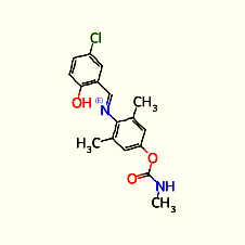 CNC(=O)Oc1cc(C)c(/N=C/c2cc(Cl)ccc2O)c(C)c1